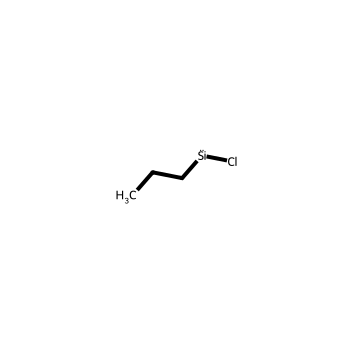 CCC[Si]Cl